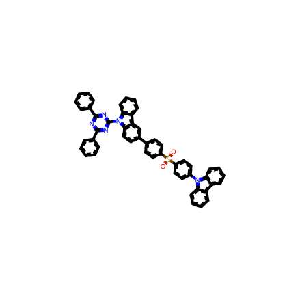 O=S(=O)(c1ccc(-c2ccc3c(c2)c2ccccc2n3-c2nc(-c3ccccc3)nc(-c3ccccc3)n2)cc1)c1ccc(-n2c3ccccc3c3ccccc32)cc1